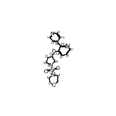 O=S(=O)(N1CCOCC1)N1CCC(Oc2cccnc2-c2ccncc2)C1